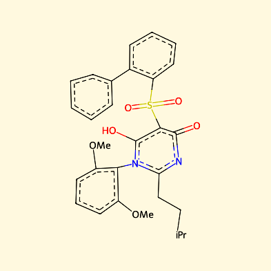 COc1cccc(OC)c1-n1c(CCC(C)C)nc(=O)c(S(=O)(=O)c2ccccc2-c2ccccc2)c1O